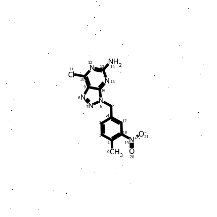 Cc1ccc(Cn2nnc3c(Cl)nc(N)nc32)cc1[N+](=O)[O-]